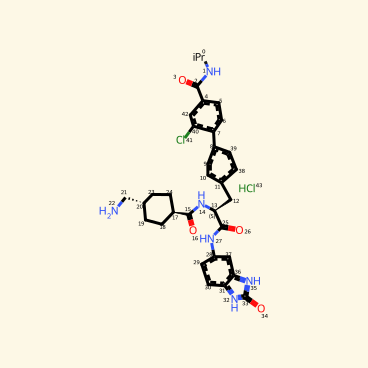 CC(C)NC(=O)c1ccc(-c2ccc(C[C@H](NC(=O)[C@H]3CC[C@H](CN)CC3)C(=O)Nc3ccc4[nH]c(=O)[nH]c4c3)cc2)c(Cl)c1.Cl